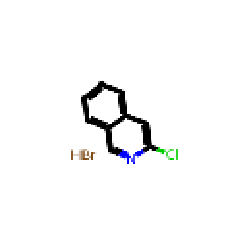 Br.Clc1cc2ccccc2cn1